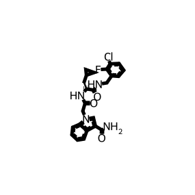 NC(=O)c1cn(CC(=O)N[C@@H](CC2CC2)C(=O)NCc2cccc(Cl)c2F)c2ccccc12